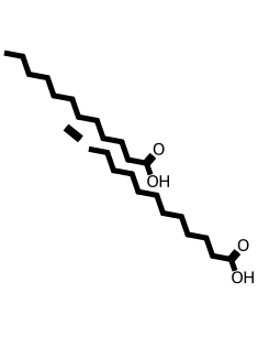 C=C.CCCCCCCCCCCC(=O)O.CCCCCCCCCCCC(=O)O